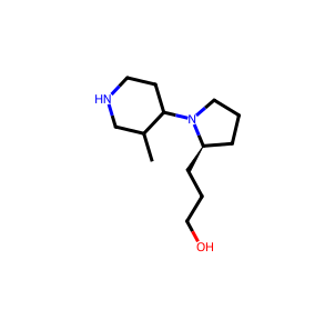 CC1CNCCC1N1CCC[C@H]1CCCO